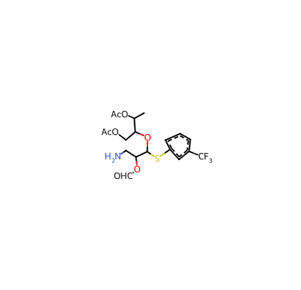 CC(=O)OCC(OC(Sc1cccc(C(F)(F)F)c1)C(CN)OC=O)C(C)OC(C)=O